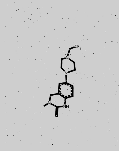 C=C1Nc2ccc(N3CCN(CC(F)(F)F)CC3)cc2CN1C